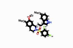 CCOc1cc2c(cc1OC)CCN(S(=O)(=O)c1ccc(F)cc1F)[C@H]2CCc1c[nH]c2ccc(OC)cc12